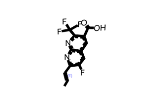 C/C=C/c1nc2nc(C(F)(F)F)c(C(=O)O)cc2cc1F